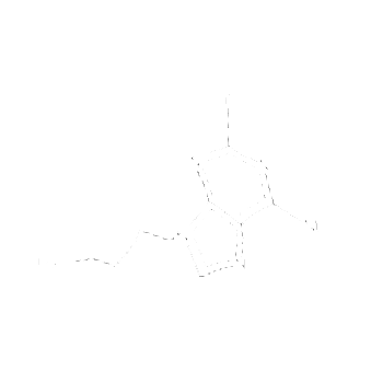 CCCCCCCCCCn1cnc2c(N)nc(Cl)nc21